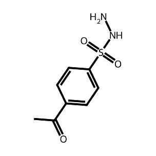 CC(=O)c1ccc(S(=O)(=O)NN)cc1